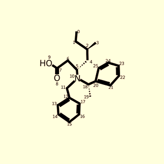 CC[C@@H](C)C[C@@H](CC(=O)O)N(Cc1ccccc1)[C@@H](C)c1ccccc1